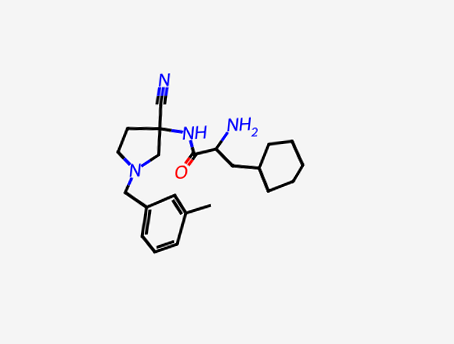 Cc1cccc(CN2CCC(C#N)(NC(=O)C(N)CC3CCCCC3)C2)c1